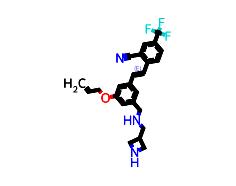 C=CCOc1cc(/C=C/c2ccc(C(F)(F)F)cc2C#N)cc(CNCC2CNC2)c1